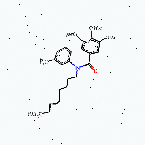 COc1cc(C(=O)N(CCCCCCCC(=O)O)c2cccc(C(F)(F)F)c2)cc(OC)c1OC